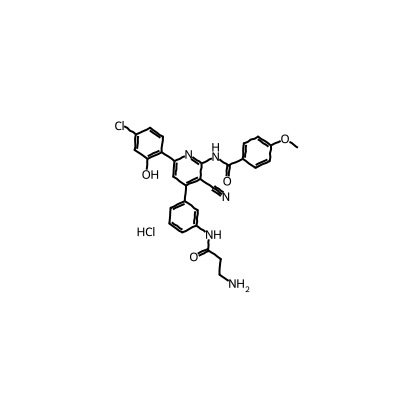 COc1ccc(C(=O)Nc2nc(-c3ccc(Cl)cc3O)cc(-c3cccc(NC(=O)CCN)c3)c2C#N)cc1.Cl